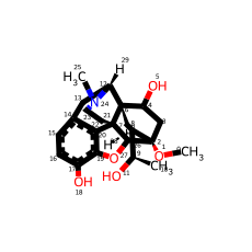 CO[C@]12CC(O)[C@@]3(C[C@@H]1[C@@H](C)O)[C@H]1Cc4ccc(O)c5c4[C@@]3(CCN1C)[C@H]2O5